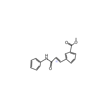 COC(=O)c1cccc(/C=C/C(=O)Nc2ccccc2)c1